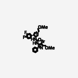 COCCN1C[C@@H](NC(=O)Nc2c(Br)c(COC)nn2-c2ccccc2)[C@H](c2ccc(F)c(F)c2)C1